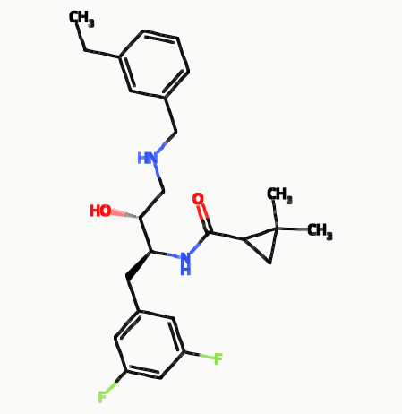 CCc1cccc(CNC[C@@H](O)[C@H](Cc2cc(F)cc(F)c2)NC(=O)C2CC2(C)C)c1